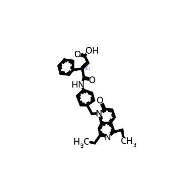 CCc1cc2c(ccc(=O)n2Cc2ccc(NC(=O)/C(=C/C(=O)O)c3ccccc3)cc2)c(CC)n1